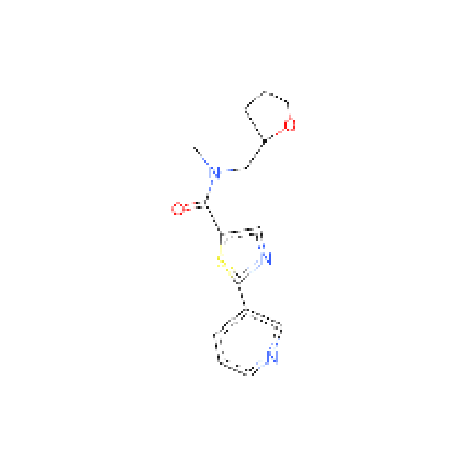 CN(CC1CCCO1)C(=O)c1cnc(-c2cccnc2)s1